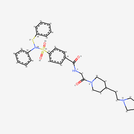 O=C(NCC(=O)N1CCC(CCN2CCCC2)CC1)c1ccc(S(=O)(=O)N(Sc2ccccc2)c2ccccc2)cc1